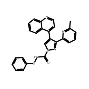 Cc1cccc(-c2nn(C(=O)NSc3ccccc3)cc2-c2ccnc3ccccc23)n1